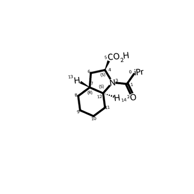 CC(C)C(=O)N1[C@H](C(=O)O)C[C@H]2CCCC[C@@H]21